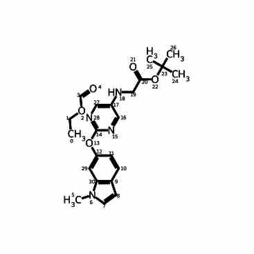 CCOC=O.Cn1ccc2ccc(Oc3ncc(NCC(=O)OC(C)(C)C)cn3)cc21